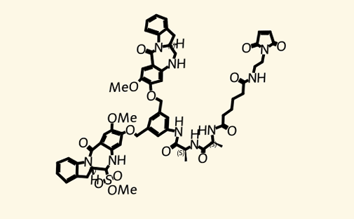 COc1cc2c(cc1OCc1cc(COc3cc4c(cc3OC)C(=O)N3c5ccccc5C[C@H]3C(S(=O)(=O)OC)N4)cc(NC(=O)[C@H](C)NC(=O)[C@H](C)NC(=O)CCCCC(=O)NCCN3C(=O)C=CC3=O)c1)NC[C@@H]1Cc3ccccc3N1C2=O